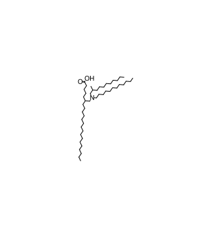 CCCCCCCCCCCCCCCCC(CCCCC(=O)O)CN(CCCCCCCCCCCC)CC(C)CCCCCCCCC